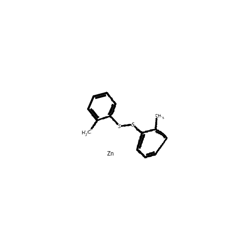 Cc1ccccc1SSc1ccccc1C.[Zn]